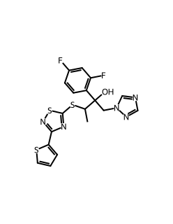 CC(Sc1nc(-c2cccs2)ns1)C(O)(Cn1cncn1)c1ccc(F)cc1F